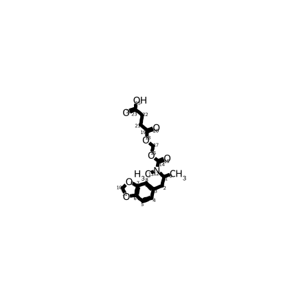 CC(Cc1ccc2c(c1)OCO2)N(C)C(=O)OCOC(=O)CCC(=O)O